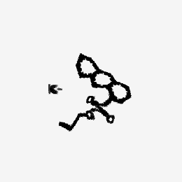 C=CCOS(=O)(=O)c1cccc2cc3ccccc3cc12.[K]